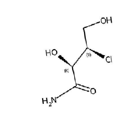 NC(=O)[C@@H](O)[C@H](Cl)CO